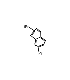 CC(C)c1ccc2ccc(C(C)C)nc2c1